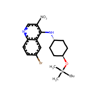 CC(C)(C)[Si](C)(C)O[C@H]1CC[C@H](Nc2c([N+](=O)[O-])cnc3ccc(Br)cc23)CC1